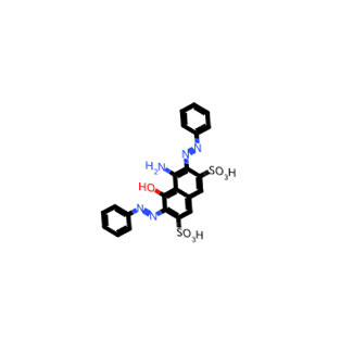 Nc1c(N=Nc2ccccc2)c(S(=O)(=O)O)cc2cc(S(=O)(=O)O)c(N=Nc3ccccc3)c(O)c12